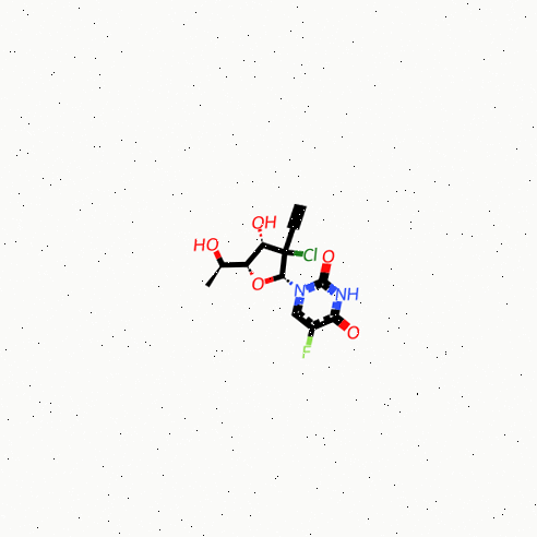 C#CC1(Cl)[C@@H](O)[C@@H]([C@@H](C)O)O[C@H]1n1cc(F)c(=O)[nH]c1=O